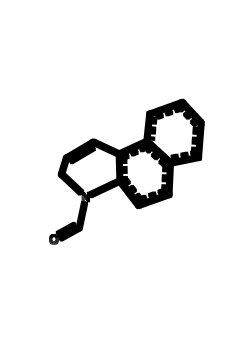 O=CN1CC=Cc2c1ccc1ccccc21